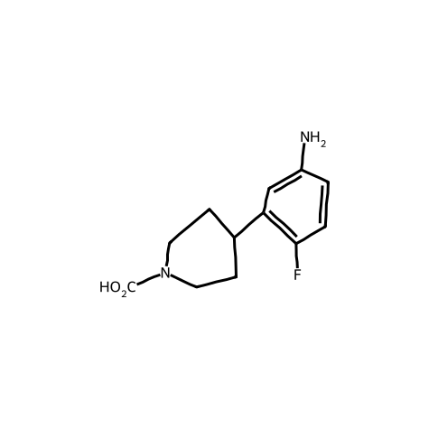 Nc1ccc(F)c(C2CCN(C(=O)O)CC2)c1